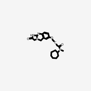 CN(C(=O)CCCOc1ccc2c(c1)CN1CC(=O)NC1=N2)C1CCCCCC1